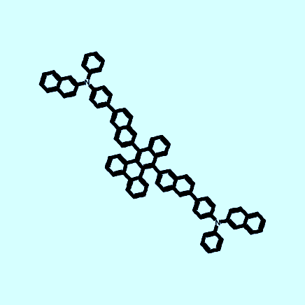 c1ccc(N(c2ccc(-c3ccc4cc(-c5c6ccccc6c(-c6ccc7cc(-c8ccc(N(c9ccccc9)c9ccc%10ccccc%10c9)cc8)ccc7c6)c6c7ccccc7c7ccccc7c56)ccc4c3)cc2)c2ccc3ccccc3c2)cc1